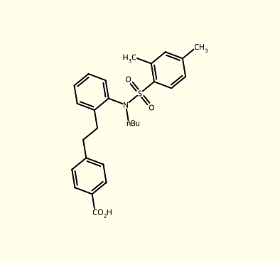 CCCCN(c1ccccc1CCc1ccc(C(=O)O)cc1)S(=O)(=O)c1ccc(C)cc1C